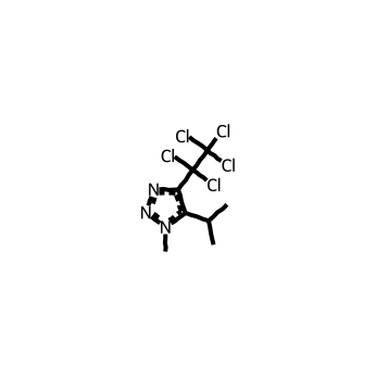 CC(C)c1c(C(Cl)(Cl)C(Cl)(Cl)Cl)nnn1C